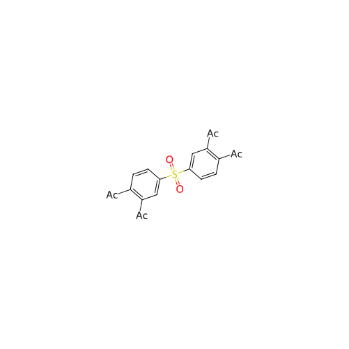 CC(=O)c1ccc(S(=O)(=O)c2ccc(C(C)=O)c(C(C)=O)c2)cc1C(C)=O